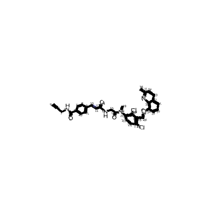 C#CCNC(=O)c1ccc(/C=C/C(=O)NCC(=O)N(C)c2ccc(Cl)c(COc3cccc4ccc(C)nc34)c2Cl)cc1